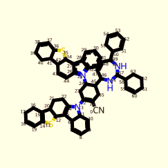 N#CC1=C(N2C3=C(C4C=CC=CC42)C2SC4=C(CCC=C4)C2CC3)CC(n2c3c(c4ccccc42)C2SC4C=CCCC4C2C=C3)C(C2C=CC(C3C=CC=CC3)NC(C3C=CCCC3)N2)C1